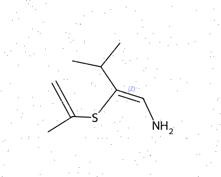 C=C(C)S/C(=C\N)C(C)C